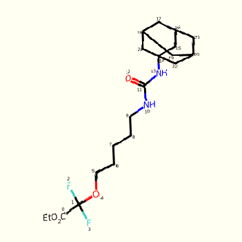 CCOC(=O)C(F)(F)OCCCCCNC(=O)NC12CC3CC(CC(C3)C1)C2